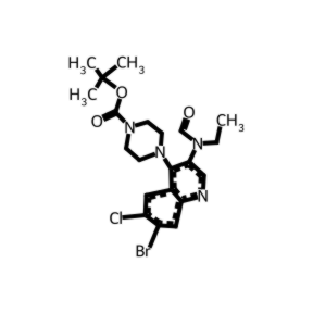 CCN(C=O)c1cnc2cc(Br)c(Cl)cc2c1N1CCN(C(=O)OC(C)(C)C)CC1